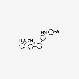 CC1(C)c2ccccc2-c2ccc(-c3cccc(-c4ccc(Nc5ccc(Br)cc5)cc4)c3)cc21